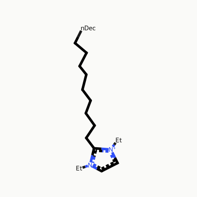 CCCCCCCCCCCCCCCCCCCc1n(CC)cc[n+]1CC